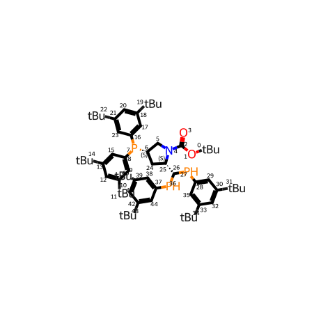 CC(C)(C)OC(=O)N1C[C@@H](P(c2cc(C(C)(C)C)cc(C(C)(C)C)c2)c2cc(C(C)(C)C)cc(C(C)(C)C)c2)C[C@H]1C(Pc1cc(C(C)(C)C)cc(C(C)(C)C)c1)Pc1cc(C(C)(C)C)cc(C(C)(C)C)c1